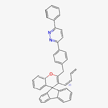 C=C/C=C\C1=C(Cc2ccc(-c3ccc(-c4ccccc4)nn3)cc2)Oc2ccccc2C12c1ccccc1-c1ccccc12